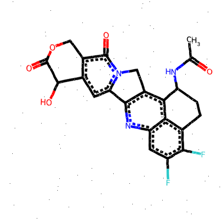 CC(=O)NC1CCc2c(F)c(F)cc3nc4c(c1c23)Cn1c-4cc2c(c1=O)COC(=O)C2O